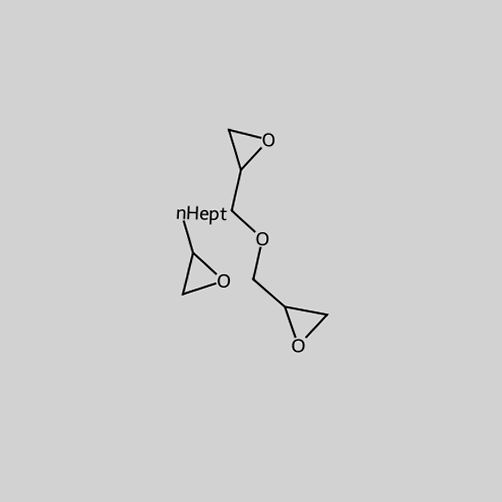 C(OCC1CO1)C1CO1.CCCCCCCC1CO1